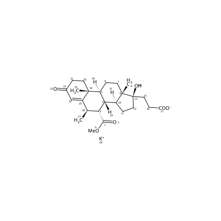 COC(=O)[C@H]1[C@@H]2[C@H](CC[C@@]3(C)[C@H]2CC[C@@]3(O)CCC(=O)[O-])[C@@]2(C)CCC(=O)C=C2[C@@H]1C.[K+]